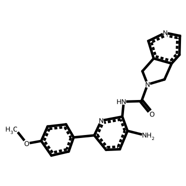 COc1ccc(-c2ccc(N)c(NC(=O)N3Cc4ccncc4C3)n2)cc1